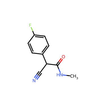 CNC(=O)C(C#N)c1ccc(F)cc1